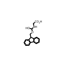 O=C(O)CNC(O)OCC1c2ccccc2-c2ccccc21